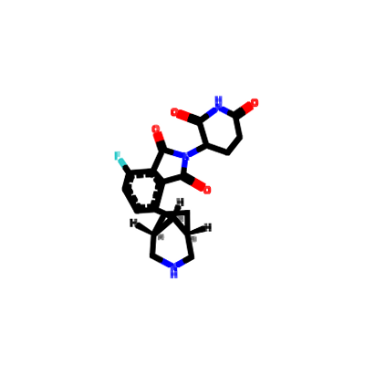 O=C1CCC(N2C(=O)c3c(F)ccc([C@@H]4[C@@H]5CC[C@H]4CNC5)c3C2=O)C(=O)N1